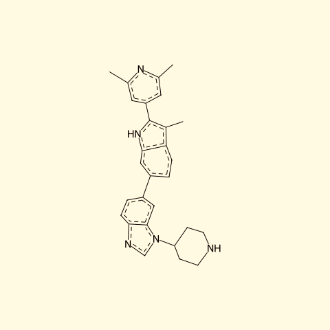 Cc1cc(-c2[nH]c3cc(-c4ccc5ncn(C6CCNCC6)c5c4)ccc3c2C)cc(C)n1